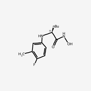 CCCC[C@H](Nc1ccc(F)c(C)c1)C(=O)NO